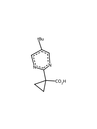 CC(C)(C)c1cnc(C2(C(=O)O)CC2)nc1